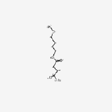 CC(C)OCCCCOC(=O)CCC(=O)C(C)(C)C